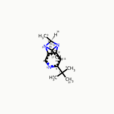 C[C@@H]1N2c3cnc(C(C)(C)C)cc3N1[C@H]2C